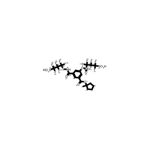 CC1(OC(=O)c2cc(OS(=O)(=O)C(F)(F)C(F)(F)C(F)(F)S(=O)(=O)O)cc(C(=O)NSC(F)(F)C(F)(F)C(F)(F)S(=O)(=O)O)c2)CCCC1